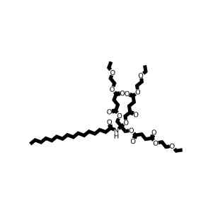 CCCCCCCCCCCCCCCC(=O)NC(COC(=O)CCC(=O)OCCOCC)(COC(=O)CCC(=O)OCCOCC)OCC(=O)CCC(=O)OCCOCC